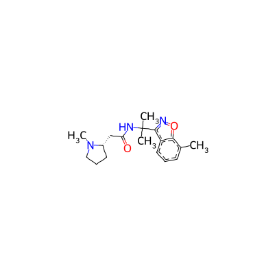 Cc1cccc2c(C(C)(C)NC(=O)C[C@@H]3CCCN3C)noc12